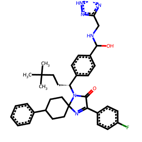 CC(C)(C)CC[C@H](c1ccc(C(O)NCc2nn[nH]n2)cc1)N1C(=O)C(c2ccc(F)cc2)=NC12CCC(c1ccccc1)CC2